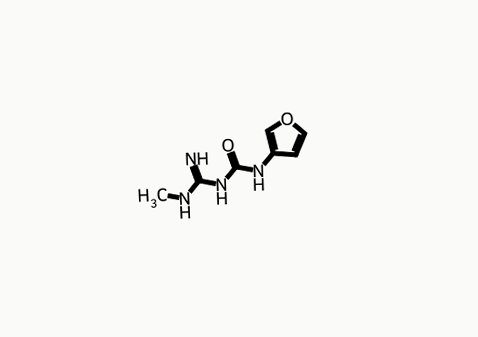 CNC(=N)NC(=O)Nc1ccoc1